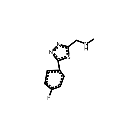 CNCc1nnc(-c2ccc(F)cc2)s1